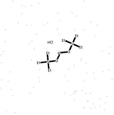 CC[Si](CC)(CC)[O][Al][O][Si](CC)(CC)CC.Cl